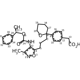 Cc1noc(CCCC2(c3ccc(CC(=O)O)cc3)CCCCO2)c1NC(=O)O[C@H](C)c1ccccc1